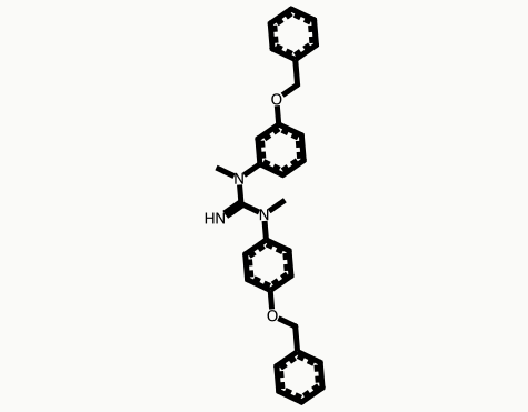 CN(C(=N)N(C)c1cccc(OCc2ccccc2)c1)c1ccc(OCc2ccccc2)cc1